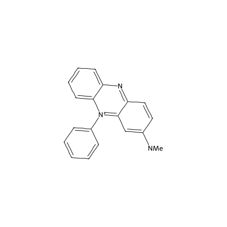 CNc1ccc2nc3ccccc3[n+](-c3ccccc3)c2c1